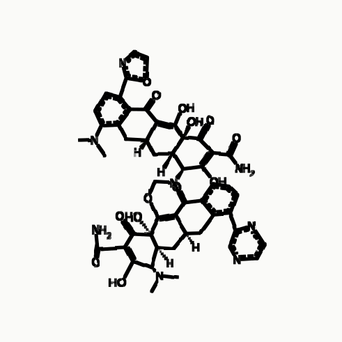 CN(C)c1ccc(-c2ncco2)c2c1C[C@H]1C[C@H]3[C@H](N(C)COC4=C5C(=O)c6cccc(-c7cnccn7)c6C[C@H]5C[C@H]5[C@H](N(C)C)C(O)=C(C(N)=O)C(=O)[C@@]45O)C(O)=C(C(N)=O)C(=O)[C@@]3(O)C(O)=C1C2=O